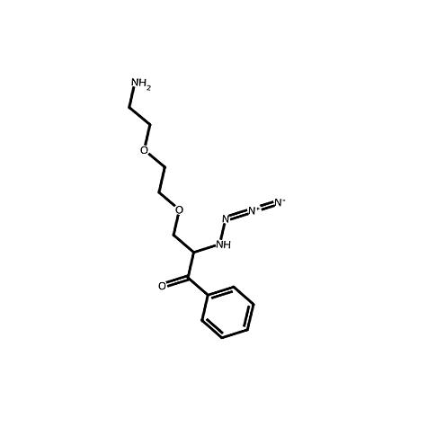 [N-]=[N+]=NNC(COCCOCCN)C(=O)c1ccccc1